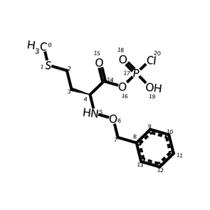 CSCC[C@H](NOCc1ccccc1)C(=O)OP(=O)(O)Cl